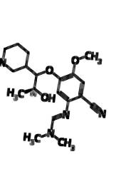 COc1cc(C#N)c(N=CN(C)C)cc1OC(C1CCCNC1)[C@H](C)O